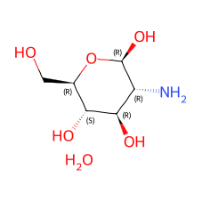 N[C@@H]1[C@@H](O)[C@H](O)[C@@H](CO)O[C@H]1O.O